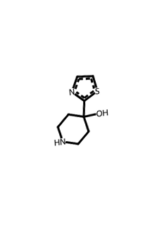 OC1(c2nccs2)CCNCC1